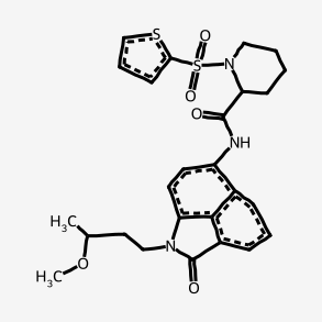 COC(C)CCN1C(=O)c2cccc3c(NC(=O)C4CCCCN4S(=O)(=O)c4cccs4)ccc1c23